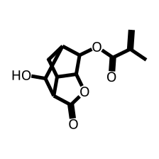 C=C(C)C(=O)OC1C2CC3C1OC(=O)C3C2O